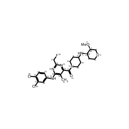 CO[C@H]1COCC[C@H]1NC1CCN(C(=O)c2nc(CF)nc(Nc3ccc(Cl)c(Cl)c3)c2C)CC1